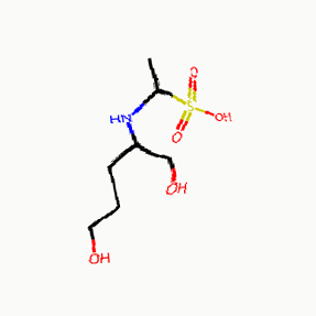 CC(NC(CO)CCCO)S(=O)(=O)O